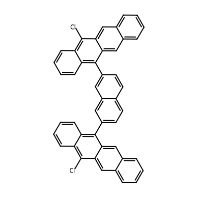 Clc1c2ccccc2c(-c2ccc3ccc(-c4c5ccccc5c(Cl)c5cc6ccccc6cc45)cc3c2)c2cc3ccccc3cc12